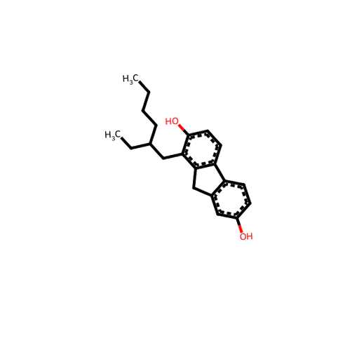 CCCCC(CC)Cc1c(O)ccc2c1Cc1cc(O)ccc1-2